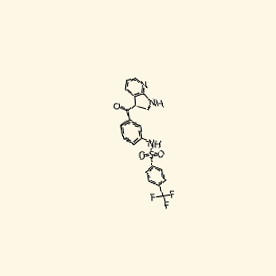 O=C(c1cccc(NS(=O)(=O)c2ccc(C(F)(F)F)cc2)c1)C1CNc2ncccc21